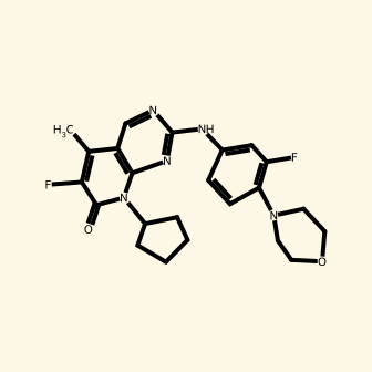 Cc1c(F)c(=O)n(C2CCCC2)c2nc(Nc3ccc(N4CCOCC4)c(F)c3)ncc12